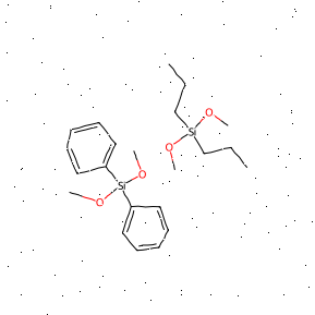 CCC[Si](CCC)(OC)OC.CO[Si](OC)(c1ccccc1)c1ccccc1